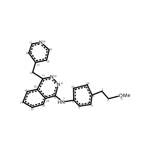 COCCc1ccc(Nc2nnc(Cc3ccncc3)c3ccccc23)cc1